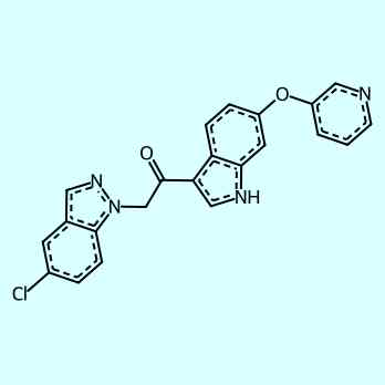 O=C(Cn1ncc2cc(Cl)ccc21)c1c[nH]c2cc(Oc3cccnc3)ccc12